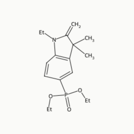 C=C1N(CC)c2ccc(P(=O)(OCC)OCC)cc2C1(C)C